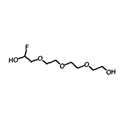 OCCOCCOCCOCC(O)F